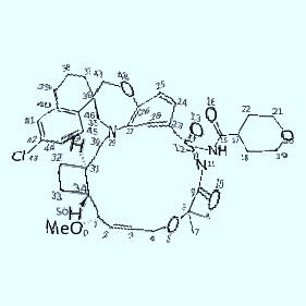 CO[C@H]1C=CCOC(C)(C)C(=O)N=S(=O)(NC(=O)C2CCOCC2)c2ccc3c(c2)N(C[C@@H]2CC[C@H]21)C[C@@]1(CCCc2cc(Cl)ccc21)CO3